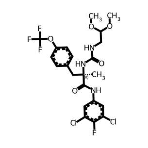 COC(CNC(=O)N[C@](C)(Cc1ccc(OC(F)(F)F)cc1)C(=O)Nc1cc(Cl)c(F)c(Cl)c1)OC